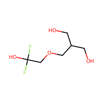 OCC(CO)COCC(O)(F)F